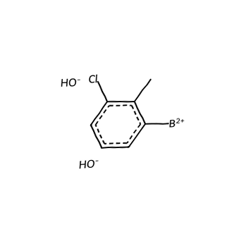 [B+2]c1cccc(Cl)c1C.[OH-].[OH-]